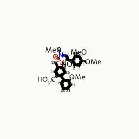 COc1ccc(C=CN(OC)S(=O)(=O)Cc2cc(C(=O)O)c(-c3ccccc3OC)cc2[N+](=O)[O-])c(OC)c1